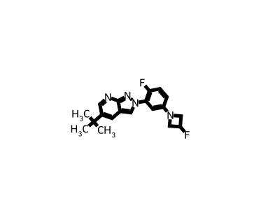 CC(C)(C)c1cnc2nn(-c3cc(N4CC(F)C4)ccc3F)cc2c1